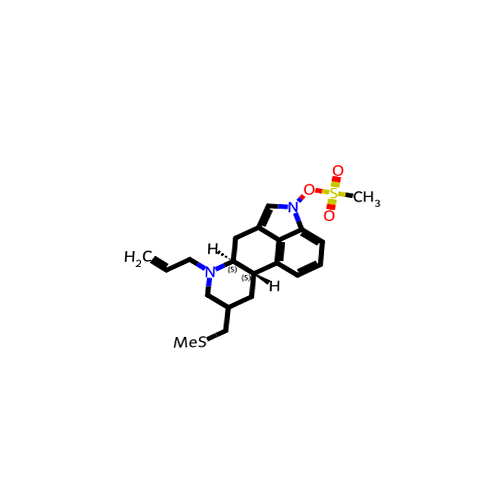 C=CCN1CC(CSC)C[C@H]2c3cccc4c3c(cn4OS(C)(=O)=O)C[C@@H]21